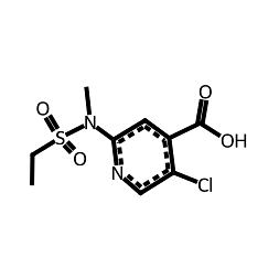 CCS(=O)(=O)N(C)c1cc(C(=O)O)c(Cl)cn1